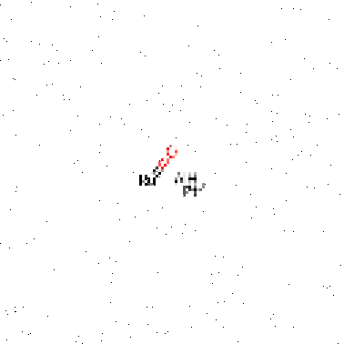 [AlH3].[O]=[Ru].[Pt]